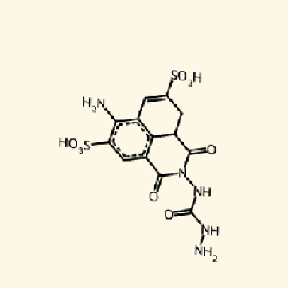 NNC(=O)NN1C(=O)c2cc(S(=O)(=O)O)c(N)c3c2C(CC(S(=O)(=O)O)=C3)C1=O